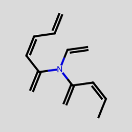 C=C/C=C\C(=C)N(C=C)C(=C)/C=C\C